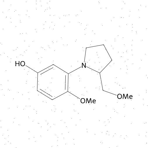 COCC1CCCN1c1cc(O)ccc1OC